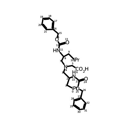 CC(C)CC(CN(CC(=O)O)CC(CC(C)C)NC(=O)OCc1ccccc1)NC(=O)OCc1ccccc1